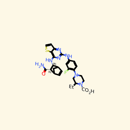 CCC1CN(c2ccc(Nc3nc(N[C@@H]4C5C=CC(C5)[C@@H]4C(N)=O)c4sccc4n3)cc2F)CCN1C(=O)O